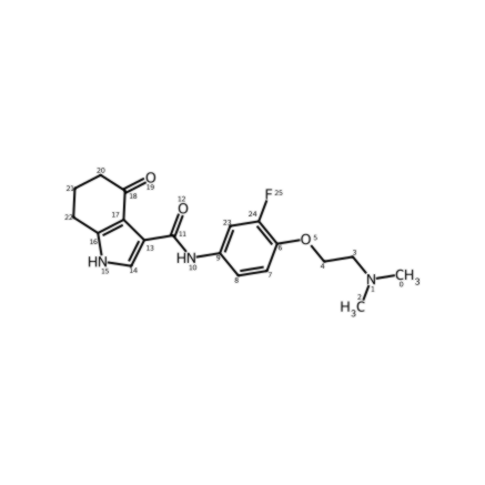 CN(C)CCOc1ccc(NC(=O)c2c[nH]c3c2C(=O)CCC3)cc1F